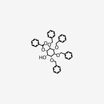 O=C(O[C@H]1[C@@H](O)[C@@H](OCc2ccccc2)[C@H](OCc2ccccc2)[C@@H](OCc2ccccc2)[C@@H]1OCc1ccccc1)c1ccccc1